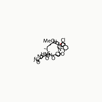 CO[C@H]1/C=C/C[C@H](C)C[S@@](=O)(NC(=O)c2cc(C(=O)N(C)C)n(C)c2)=NC(=O)c2ccc3c(c2)N(C[C@@H]2CC[C@H]21)C[C@@]1(CCCc2cc(Cl)ccc21)CO3